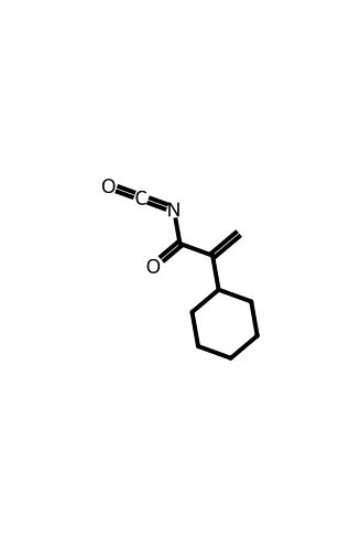 C=C(C(=O)N=C=O)C1CCCCC1